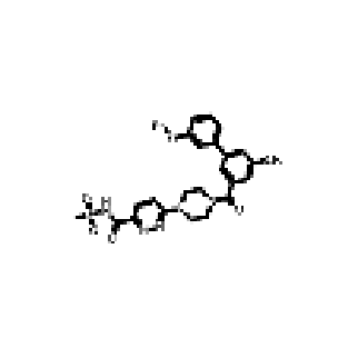 CCOc1cccc(-c2cc(C(=O)N3CCN(c4ccc(C(=O)NS(C)(=O)=O)nn4)CC3)cc(C(F)(F)F)c2)c1